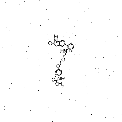 CC(=O)Nc1ccc(OCCOCCNc2ncccc2-c2ccc3c(c2)CC(=O)N3)cc1